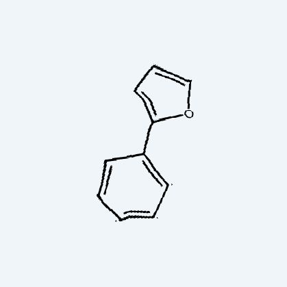 [c]1[c]ccc(-c2ccco2)[c]1